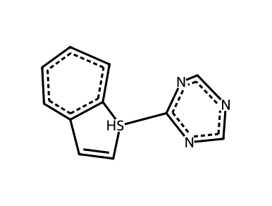 C1=C[SH](c2ncncn2)c2ccccc21